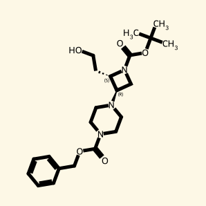 CC(C)(C)OC(=O)N1C[C@@H](N2CCN(C(=O)OCc3ccccc3)CC2)[C@@H]1CCO